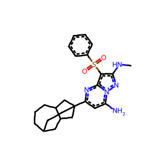 CNc1nn2c(N)cc(C34CC5CCCC(C3)C(C5)C4)nc2c1S(=O)(=O)c1ccccc1